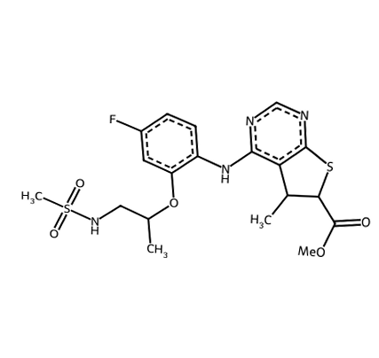 COC(=O)C1Sc2ncnc(Nc3ccc(F)cc3OC(C)CNS(C)(=O)=O)c2C1C